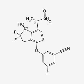 C[C@@H](c1ccc(Oc2cc(F)cc(C#N)c2)c2c1[C@H](O)C(F)(F)C2)[SH](=O)=O